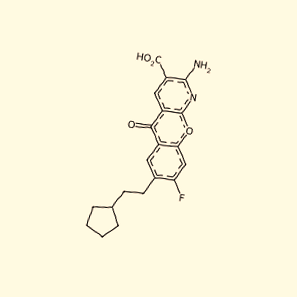 Nc1nc2oc3cc(F)c(CCC4CCCC4)cc3c(=O)c2cc1C(=O)O